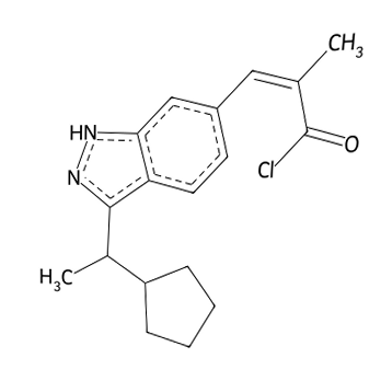 CC(=Cc1ccc2c(C(C)C3CCCC3)n[nH]c2c1)C(=O)Cl